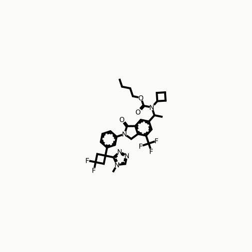 CCCCOC(=O)N(C1CCC1)C(C)c1cc2c(c(C(F)(F)F)c1)CN(c1cccc(C3(c4nncn4C)CC(F)(F)C3)c1)C2=O